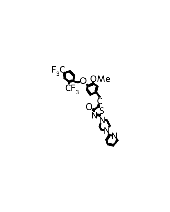 COc1cc(C=C=C2SC(N3CCN(c4ccccn4)CC3)=NC2=O)ccc1OCc1ccc(C(F)(F)F)cc1C(F)(F)F